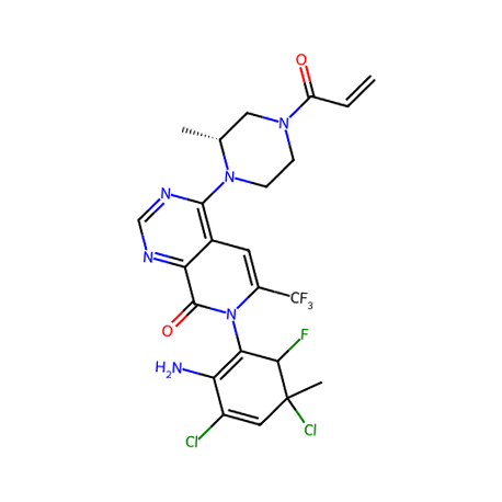 C=CC(=O)N1CCN(c2ncnc3c(=O)n(C4=C(N)C(Cl)=CC(C)(Cl)C4F)c(C(F)(F)F)cc23)[C@H](C)C1